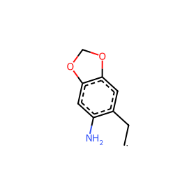 [CH2]Cc1cc2c(cc1N)OCO2